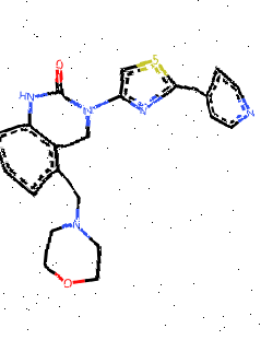 O=C1Nc2cccc(CN3CCOCC3)c2CN1c1csc(-c2ccncc2)n1